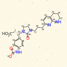 O=C(O)C[C@@H](c1ccc2[nH]c(=O)oc2c1)N1CCN(CCCc2ccc3c(n2)NCCC3)C1=O